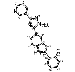 CCn1nc(-c2cccnc2)nc1-c1ccc2[nH]c(-c3ccccc3Cl)cc2c1